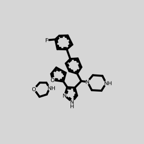 C1COCCN1.Fc1cccc(-c2ccc(C(c3c[nH]nc3-c3ccco3)N3CCNCC3)cc2)c1